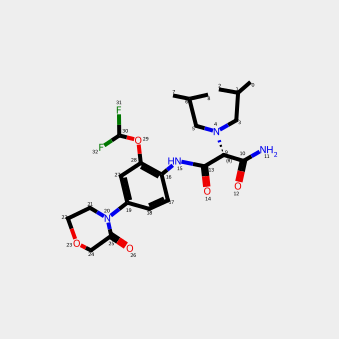 CC(C)CN(CC(C)C)[C@H](C(N)=O)C(=O)Nc1ccc(N2CCOCC2=O)cc1OC(F)F